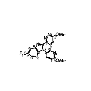 COc1ccc(-n2c(-c3ccc(OC)nn3)nc3cc(C(F)(F)F)ccc32)cn1